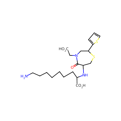 NCCCCCCCC(NC1CSC(c2cccs2)CN(CC(=O)O)C1=O)C(=O)O